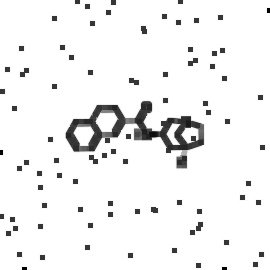 O=C(N[C@@H]1C[C@@H]2CCN(C2)C1)c1ccc2ccccc2c1